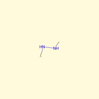 [CH2]NNC